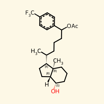 CC(=O)OC(CCCC(C)[C@H]1CC[C@H]2[C@@H](O)CCC[C@]12C)c1ccc(C(F)(F)F)cc1